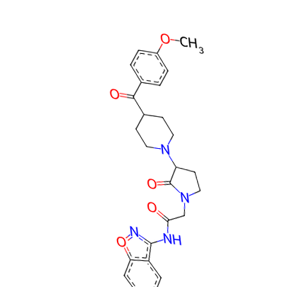 COc1ccc(C(=O)C2CCN(C3CCN(CC(=O)Nc4noc5ccccc45)C3=O)CC2)cc1